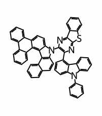 c1ccc(-n2c3ccccc3c3c(-c4nc5sc6ccccc6c5nc4-n4c5ccc6ccccc6c5c5c6c7ccccc7c7ccccc7c6ccc54)cccc32)cc1